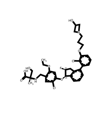 CCOc1cc(O[C@@H]2c3cccc(-c4cccc(OCCCN5CC(O)C5)c4Cl)c3C[C@@H]2F)c(Cl)cc1CN[C@@](C)(CO)C(=O)O